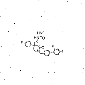 CCNC(=O)NCC[C@]1(c2ccc(F)cc2)CCN([C@@H](C)c2ccc(-c3ccc(F)cc3F)cc2)C(=O)C1